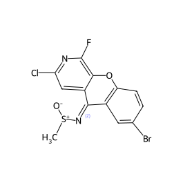 C[S+]([O-])/N=c1/c2cc(Br)ccc2oc2c(F)nc(Cl)cc12